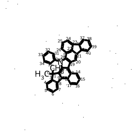 CC1(C)c2ccccc2-c2c1c1c(c3ccccc23)c2cc3c4c(cccc4c2n1-c1ccccc1)-c1ccccc1-3